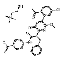 COc1nn([C@@H](Cc2ccccc2)C(=O)Nc2ccc(C(=O)[O-])cc2)c(=O)cc1-c1cc(Cl)ccc1C(C)=O.C[N+](C)(C)CCO